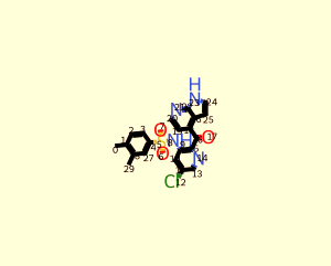 Cc1ccc(S(=O)(=O)Nc2cc(Cl)cnc2C(=O)c2ccnc3[nH]ccc23)cc1C